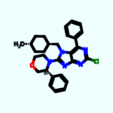 C[C@H]1CC[C@H](Cn2c(N3CCOC[C@H]3c3ccccc3)nc3nc(Cl)nc(-c4ccccc4)c32)CC1